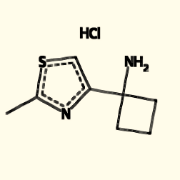 Cc1nc(C2(N)CCC2)cs1.Cl